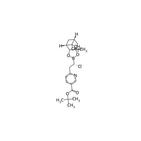 CC(C)(C)OC(=O)c1ccc(C[C@@H](Cl)B2OC3[C@@H]4C[C@H](C[C@]3(C)O2)C4(C)C)nc1